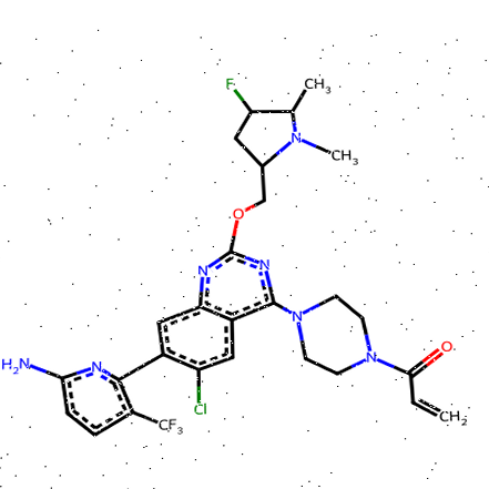 C=CC(=O)N1CCN(c2nc(OCC3CC(F)C(C)N3C)nc3cc(-c4nc(N)ccc4C(F)(F)F)c(Cl)cc23)CC1